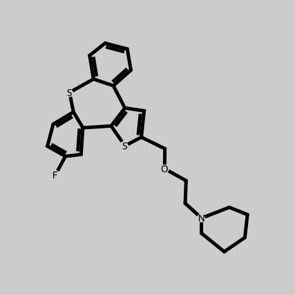 Fc1ccc2c(c1)-c1sc(COCCN3CCCCC3)cc1-c1ccccc1S2